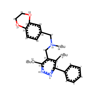 CCCCc1c(-c2ccccc2)nnc(OCC(C)C)c1CN(CCCC)Cc1ccc2c(c1)OCCO2